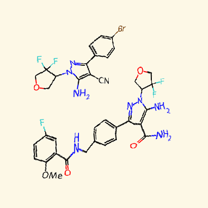 COc1ccc(F)cc1C(=O)NCc1ccc(-c2nn(C3COCC3(F)F)c(N)c2C(N)=O)cc1.N#Cc1c(-c2ccc(Br)cc2)nn(C2COCC2(F)F)c1N